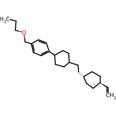 C=C[C@H]1CC[C@H](CCC2CCC(c3ccc(COCCC)cc3)CC2)CC1